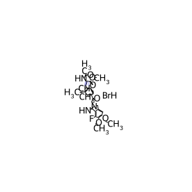 Br.CCOc1cc2c(c(F)c1OCC)C(=N)N(CC(=O)c1ccc(/C=C(/NC(C)=O)C(=O)OC)c(C(C)(C)C)c1)C2